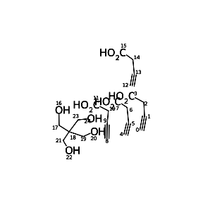 C#CCC(=O)O.C#CCC(=O)O.C#CCC(=O)O.C#CCC(=O)O.OCC(CO)(CO)CO